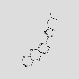 CN(C)Cc1nc(-c2ccc3c(c2)Nc2ccccc2S3)cs1